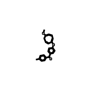 COC1=C=C/C=C(Oc2ccc(C(=O)c3ccc(C)cc3)cc2)\C=C/C1